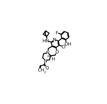 C=CC(=O)N1CCN2Cc3c(NC45CC(C4)C5)nc(-c4c(O)cccc4F)c(Cl)c3OC[C@H]2C1